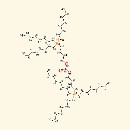 CCCCCCCC[PH](CCCCCCCC)(CCCCCCCC)CCCCOC(=O)OCCCC[PH](CCCCCCCC)(CCCCCCCC)CCCCCCCC